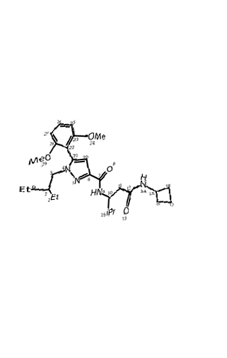 CCC(CC)Cn1nc(C(=O)NC(CC(=O)NC2CCC2)C(C)C)cc1-c1c(OC)cccc1OC